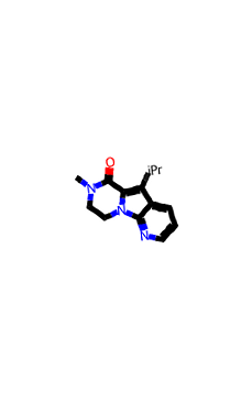 CC(C)c1c2n(c3ncccc13)CCN(C)C2=O